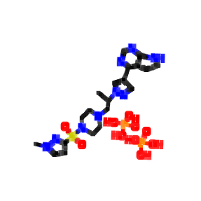 CC(CN1CCN(S(=O)(=O)c2ccn(C)n2)CC1)n1cc(-c2ncnc3[nH]ccc23)cn1.O=P(O)(O)O.O=P(O)(O)O